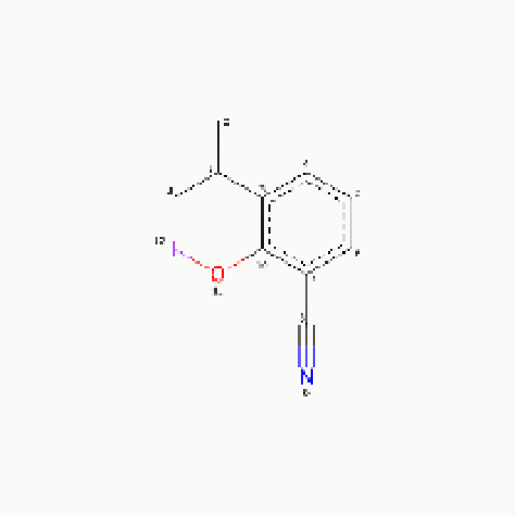 CC(C)c1cccc(C#N)c1OI